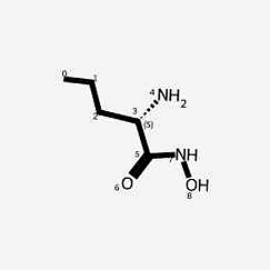 CCC[C@H](N)C(=O)NO